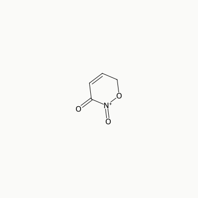 O=C1C=CCO[N+]1=O